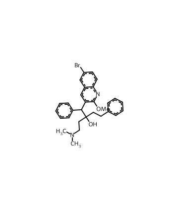 COc1nc2ccc(Br)cc2cc1C(c1ccccc1)C(O)(CCc1ccccc1)CCN(C)C